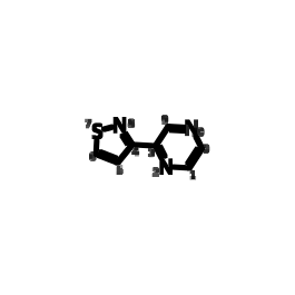 c1cnc(-c2ccsn2)cn1